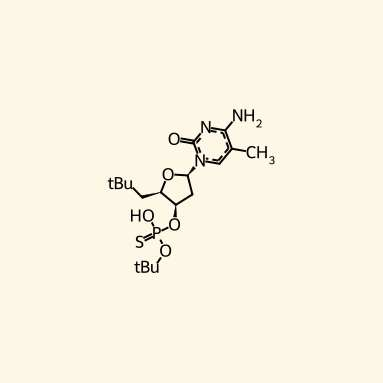 Cc1cn([C@H]2C[C@@H](OP(O)(=S)OC(C)(C)C)[C@@H](CC(C)(C)C)O2)c(=O)nc1N